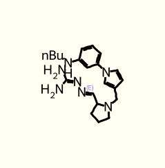 CCCCNc1cccc(-n2ccc(CN3CCCC3/C=N/N=C(N)N)c2)c1